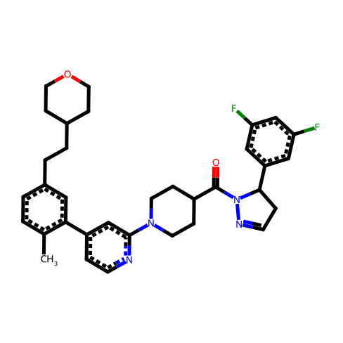 Cc1ccc(CCC2CCOCC2)cc1-c1ccnc(N2CCC(C(=O)N3N=CCC3c3cc(F)cc(F)c3)CC2)c1